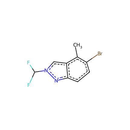 Cc1c(Br)ccc2nn(C(F)F)cc12